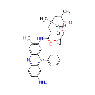 CCC(CC(C)(CC(C)C(=O)OCC1CO1)C(=O)O)C(=O)Nc1cc2c(cc1C)nc1ccc(N)cc1[n+]2-c1ccccc1